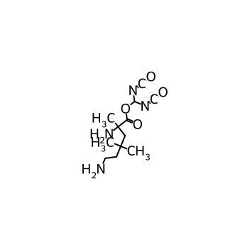 CC(C)(CCN)CC(C)(N)C(=O)OC(N=C=O)N=C=O